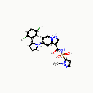 Cn1nccc1S(=O)(=O)NC(=O)c1cnn2ccc(N3CCCC3c3cc(F)ccc3F)cc12